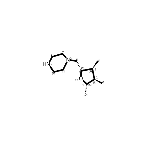 C[C@@H]1[C@H](C)[C@@H](CN2CCNCC2)O[C@H]1C